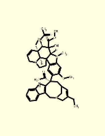 CCC1=CC2CN(C1)Cc1c([nH]c3ccccc13)[C@@](C(C)=O)(c1cc3c(cc1OC)N(C)[C@H]1C(O)(C(=O)OC)[C@H](OC(C)=O)[C@]4(CC)C=CCN5CCC31[C@@H]54)C2